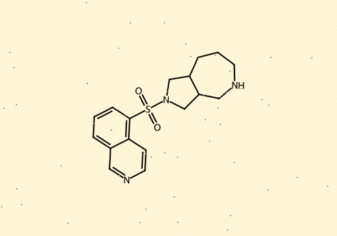 O=S(=O)(c1cccc2cnccc12)N1CC2CCCNCC2C1